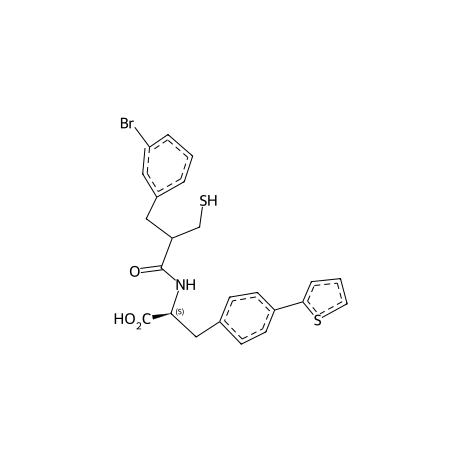 O=C(N[C@@H](Cc1ccc(-c2cccs2)cc1)C(=O)O)C(CS)Cc1cccc(Br)c1